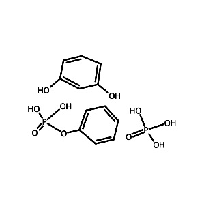 O=P(O)(O)O.O=P(O)(O)Oc1ccccc1.Oc1cccc(O)c1